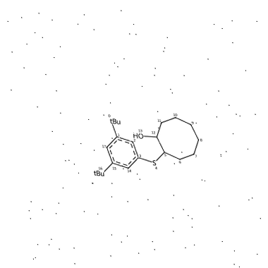 CC(C)(C)c1cc(SC2CCCCCCC2O)cc(C(C)(C)C)c1